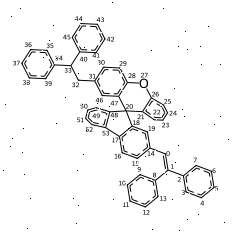 C(=C(c1ccccc1)c1ccccc1)c1ccc2c(c1)C1(c3ccccc3Oc3ccc(CC(c4ccccc4)c4ccccc4)cc31)c1ccccc1-2